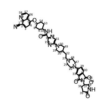 N#Cc1ccc(OC2CCC(NC(=O)c3cnc(N4CCC(CCN5CCN(c6ccc7c(c6)C(=O)N(C6CCC(=O)NC6=O)C7=O)CC5)CC4)cn3)CC2)c2cccnc12